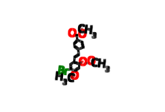 COCOc1cc(OC)c(Br)cc1C=Cc1ccc(C(=O)OC)cc1